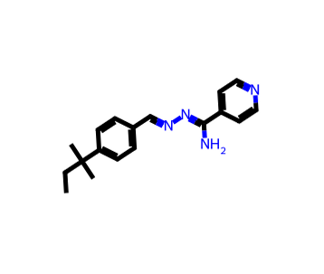 CCC(C)(C)c1ccc(/C=N/N=C(\N)c2ccncc2)cc1